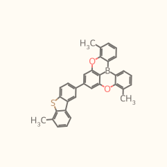 Cc1cccc2c1Oc1cc(-c3ccc4sc5c(C)cccc5c4c3)cc3c1B2c1cccc(C)c1O3